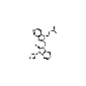 CC(C)CCn1c(Cn2c(=O)n(C3COC3)c3ccncc32)nc2cnccc21